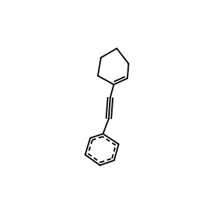 C(#Cc1ccccc1)C1=CCCCC1